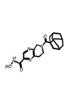 O=C(NO)c1cnc2c(n1)CCN(C(=O)C13CC4CC(CC(C4)C1)C3)C2